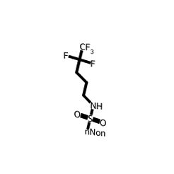 [CH2]CCCCCCCCS(=O)(=O)NCCCC(F)(F)C(F)(F)F